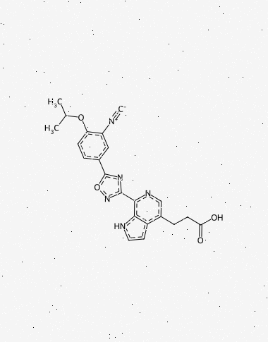 [C-]#[N+]c1cc(-c2nc(-c3ncc(CCC(=O)O)c4cc[nH]c34)no2)ccc1OC(C)C